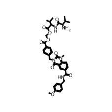 COc1ccc(CNC(=O)c2ccc3c(c2)c(=O)n(Cc2ccc(C(=O)OCOC(=O)C(NC(=O)C(N)C(C)C)C(C)C)cc2)c(=O)n3C)cc1